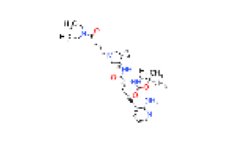 CCN(CC)C(=O)CCCN1C[C@H](NC(=O)[C@H](CC#Cc2cccnc2N)NC(=O)OC(C)(C)C)C2(CC2)C1